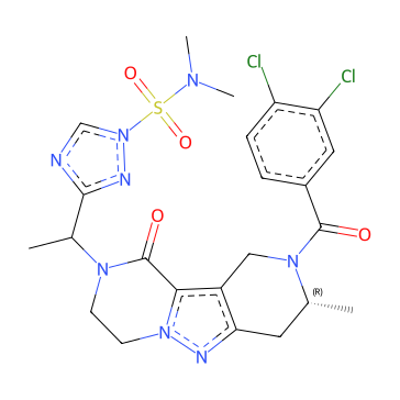 CC(c1ncn(S(=O)(=O)N(C)C)n1)N1CCn2nc3c(c2C1=O)CN(C(=O)c1ccc(Cl)c(Cl)c1)[C@H](C)C3